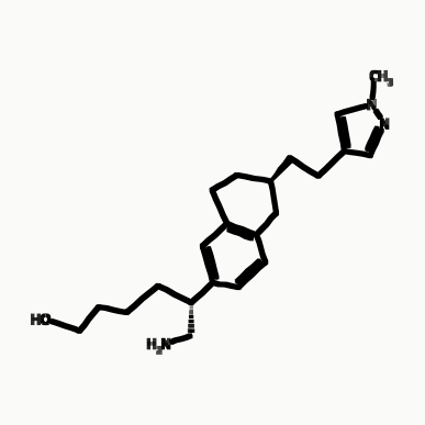 Cn1cc(CC[C@@H]2CCc3cc([C@H](CN)CCCCO)ccc3C2)cn1